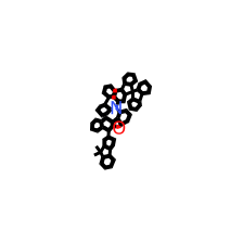 CC1(C)c2ccccc2-c2ccc(-c3c4ccccc4cc4c3oc3cccc(N(c5ccc6c(c5)C5(c7ccccc7-c7ccccc75)c5ccccc5-6)c5ccccc5-c5ccccc5)c34)cc21